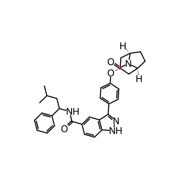 CC(C)CC(NC(=O)c1ccc2[nH]nc(-c3ccc(O[C@@H]4C[C@H]5CC[C@@H](C4)N5C=O)cc3)c2c1)c1ccccc1